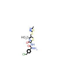 Cc1nnc(SCC2=C(C(=O)O)N3C(=O)C(NC(=O)C(N)c4ccc(CCl)cc4)C3SC2)s1